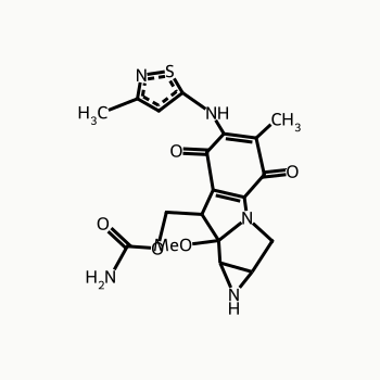 COC12C(COC(N)=O)C3=C(C(=O)C(C)=C(Nc4cc(C)ns4)C3=O)N1CC1NC12